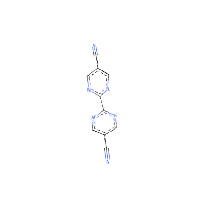 N#Cc1cnc(-c2ncc(C#N)cn2)nc1